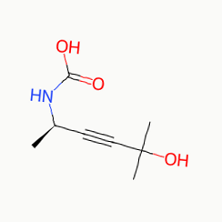 C[C@H](C#CC(C)(C)O)NC(=O)O